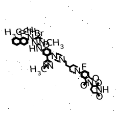 COc1cc(N2CCN(CCC3CCN(c4cc5c(cc4F)C(=O)N(C4CCC(=O)NC4=O)C5=O)CC3)CC2)c(-c2cnn(C)c2)cc1Nc1ncc(Br)c(Nc2ccc3ccccc3c2P(C)C)n1